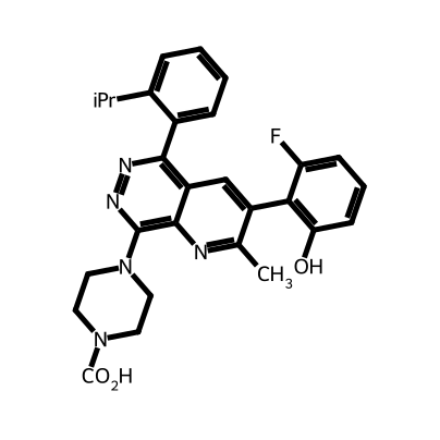 Cc1nc2c(N3CCN(C(=O)O)CC3)nnc(-c3ccccc3C(C)C)c2cc1-c1c(O)cccc1F